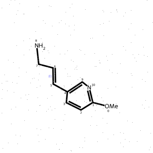 COc1ccc(/C=C/CN)cn1